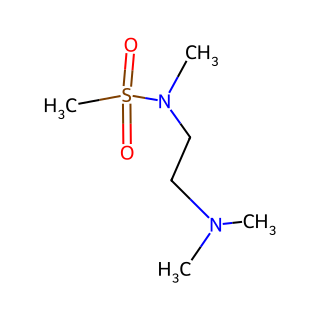 CN(C)CCN(C)S(C)(=O)=O